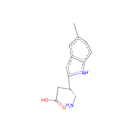 Cc1ccc2[nH]c(C(CN)CC(=O)O)cc2c1